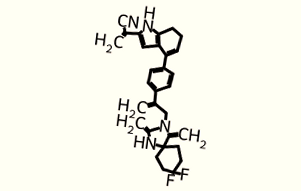 C=C(CN1C(=C)NC2(CCC(F)(F)CC2)C1=C)c1ccc(C2=CCCc3[nH]c(C(=C)C#N)cc32)cc1